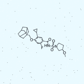 CO[C@@H]1CCN(S(=O)(=O)NC(=O)c2cc(C3CC3)c(OCC34CC5CC(CC(C5)C3)C4)cc2F)C1